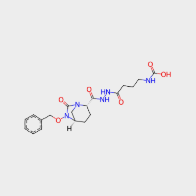 O=C(O)NCCCC(=O)NNC(=O)[C@@H]1CC[C@@H]2CN1C(=O)N2OCc1ccccc1